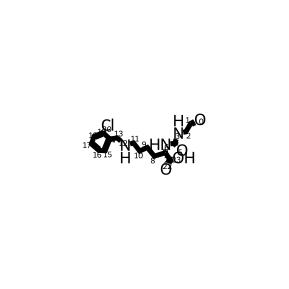 O=CCNC(=O)NC(CCCCNCc1ccccc1Cl)C(=O)O